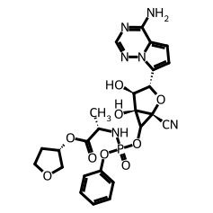 C[C@H](NP(=O)(Oc1ccccc1)OC1[C@@]2(C#N)O[C@@H](c3ccc4c(N)ncnn34)[C@H](O)[C@@]12O)C(=O)O[C@H]1CCOC1